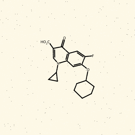 O=C(O)c1cn(C2CC2)c2cc(OC3CCCCC3)c(F)cc2c1=O